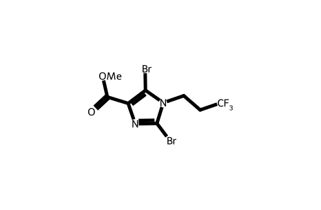 COC(=O)c1nc(Br)n(CCC(F)(F)F)c1Br